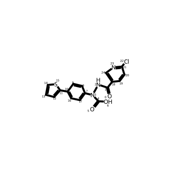 O=C(NN(C(=O)O)c1ccc(-c2cccs2)cc1)c1ccc(Cl)nc1